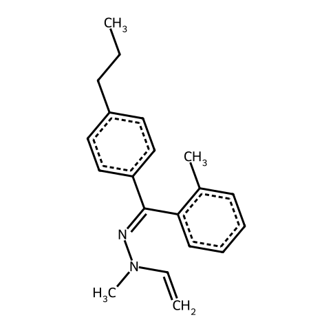 C=CN(C)/N=C(/c1ccc(CCC)cc1)c1ccccc1C